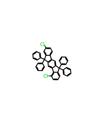 Clc1ccc2c(c1)C(c1ccccc1)(c1ccccc1)c1cc3c(cc1-2)C(c1ccccc1)(c1ccccc1)c1cccc(Cl)c1-3